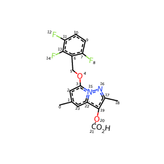 Cc1cc(OCc2c(F)ccc(F)c2F)n2nc(C)c(OC(=O)O)c2c1